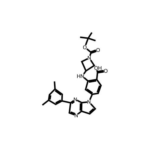 Cc1cc(C)cc(-c2cnc3ccn(-c4ccc(C(=O)O)c(NC5CN(C(=O)OC(C)(C)C)C5)c4)c3n2)c1